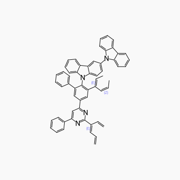 C=C/C=C(\C=C)c1nc(-c2ccccc2)cc(-c2cc(C(/C=C\C)=C/C)c(-n3c4ccccc4c4cc(-n5c6ccccc6c6ccccc65)ccc43)c(-c3ccccc3)c2)n1